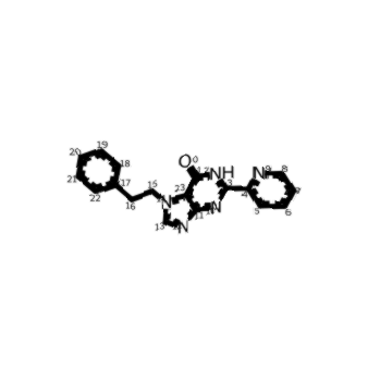 O=c1[nH]c(-c2ccccn2)nc2ncn(CCc3ccccc3)c12